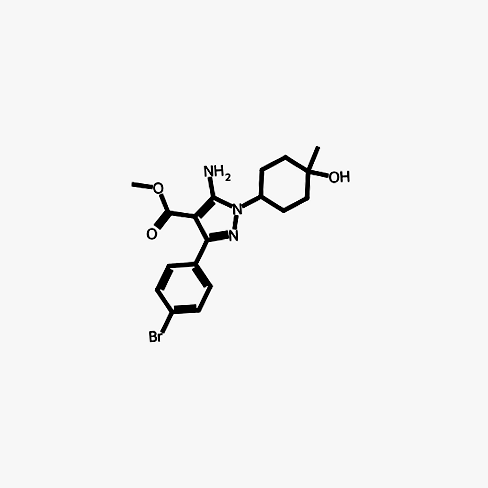 COC(=O)c1c(-c2ccc(Br)cc2)nn(C2CCC(C)(O)CC2)c1N